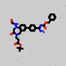 CC(C)(C)OC(=O)CCN1Cc2cc(-c3ccc(C(N)=NC(=O)OCc4ccccc4)cc3)ccc2N(NC=O)CC1=O